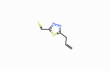 C=CCc1nnc(C=S)s1